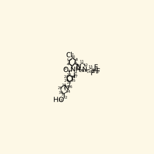 O=C(Nc1ccc(Cl)cc1N1CCN(CCC(F)(F)F)CC1)c1ccc(CN2CCCC(CO)C2)cc1F